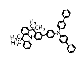 CC1(C)c2ccccc2N2c3ccc(-c4ccc(N(c5ccc(-c6ccccc6)cc5)c5ccc(-c6ccccc6)cc5)cc4)cc3C(C)(C)c3cccc1c32